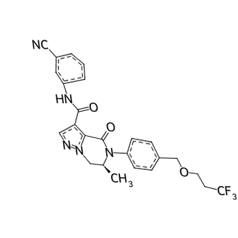 C[C@H]1Cn2ncc(C(=O)Nc3cccc(C#N)c3)c2C(=O)N1c1ccc(COCCC(F)(F)F)cc1